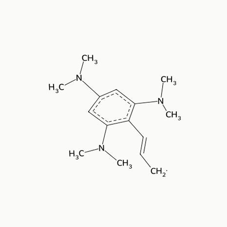 [CH2]C=Cc1c(N(C)C)cc(N(C)C)cc1N(C)C